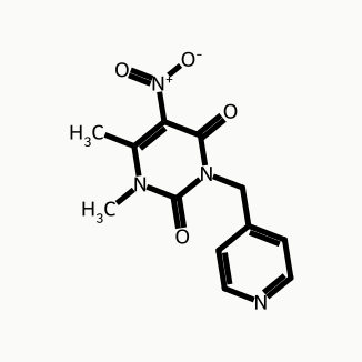 Cc1c([N+](=O)[O-])c(=O)n(Cc2ccncc2)c(=O)n1C